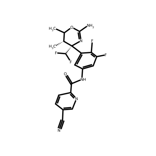 CC1OC(N)=N[C@](c2cc(NC(=O)c3ccc(C#N)cn3)cc(F)c2F)(C(F)F)[C@@H]1C